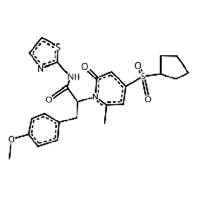 COc1ccc(CC(C(=O)Nc2nccs2)n2c(C)cc(S(=O)(=O)C3CCCC3)cc2=O)cc1